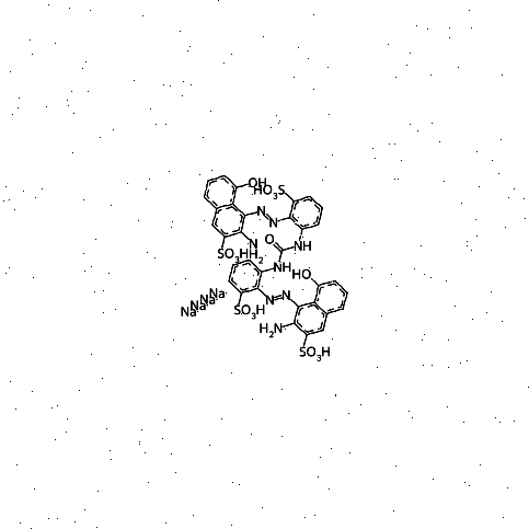 Nc1c(S(=O)(=O)O)cc2cccc(O)c2c1N=Nc1c(NC(=O)Nc2cccc(S(=O)(=O)O)c2N=Nc2c(N)c(S(=O)(=O)O)cc3cccc(O)c23)cccc1S(=O)(=O)O.[Na].[Na].[Na].[Na]